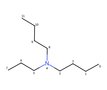 CCCCN(CCC)CCCC